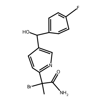 CC(Br)(C(N)=O)c1ccc(C(O)c2ccc(F)cc2)cn1